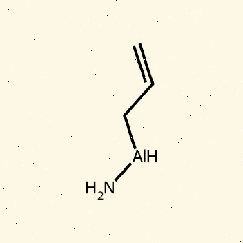 C=C[CH2][AlH][NH2]